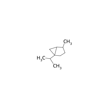 CC1CCC2(C(C)C)CC12